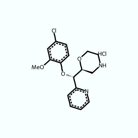 COc1cc(Cl)ccc1O[C@@H](c1ccccn1)[C@@H]1CNCCO1.Cl